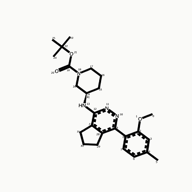 COc1cc(C)ccc1-c1nnc(N[C@@H]2CCCN(C(=O)OC(C)(C)C)C2)c2c1CCC2